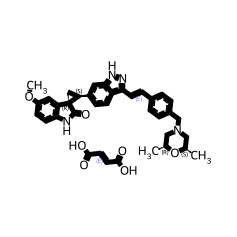 COc1ccc2c(c1)[C@]1(C[C@H]1c1ccc3c(/C=C/c4ccc(CN5C[C@@H](C)O[C@@H](C)C5)cc4)n[nH]c3c1)C(=O)N2.O=C(O)/C=C/C(=O)O